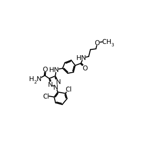 COCCCNC(=O)c1ccc(Nc2nn(-c3c(Cl)cccc3Cl)nc2C(N)=O)cc1